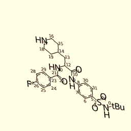 CC(C)(C)NS(=O)(=O)c1ccc(NC(=O)C(CC2CCNCC2)NC(=O)c2ccc(F)cc2)cc1